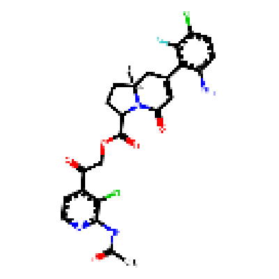 CC(=O)Nc1nccc(C(=O)COC(=O)C2CC[C@@H]3CC(c4c(N)ccc(Cl)c4F)=CC(=O)N23)c1Cl